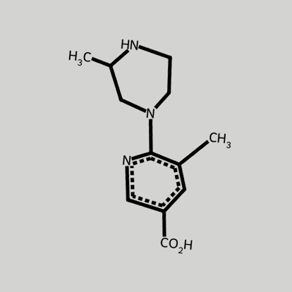 Cc1cc(C(=O)O)cnc1N1CCNC(C)C1